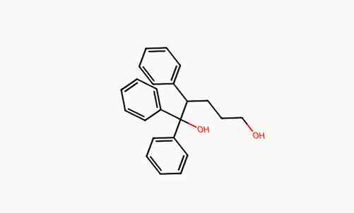 OCCCC(c1ccccc1)C(O)(c1ccccc1)c1ccccc1